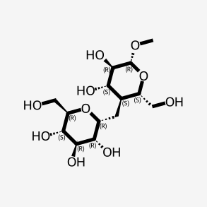 CO[C@@H]1O[C@H](CO)[C@@H](C[C@H]2O[C@H](CO)[C@@H](O)[C@H](O)[C@H]2O)[C@H](O)[C@H]1O